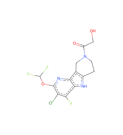 O=C(CO)N1CCc2[nH]c3c(F)c(Cl)c(OC(F)F)nc3c2C1